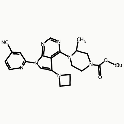 CC1CN(C(=O)OC(C)(C)C)CCN1c1ncnc2c1c(N1CCC1)cn2-c1cc(C#N)ccn1